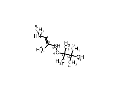 CN/C=C(\C)BOC(C)(C)C(C)(C)O